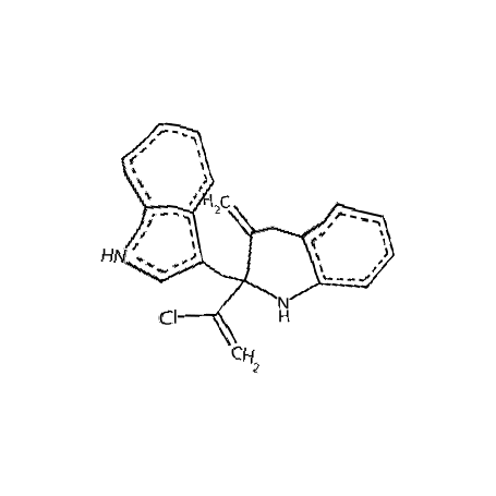 C=C(Cl)C1(c2c[nH]c3ccccc23)Nc2ccccc2C1=C